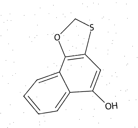 Oc1cc2c(c3ccccc13)OCS2